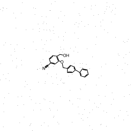 N#Cc1ccc(CO)c(OCc2ccc(-c3ccccc3)cc2)c1